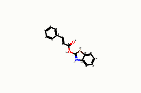 O=C(/C=C/c1ccccc1)Oc1nc2ccccc2s1